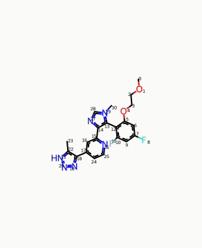 COCCOc1cc(F)cc(F)c1-c1c(-c2cc(-c3nn[nH]c3C)ccn2)ncn1C